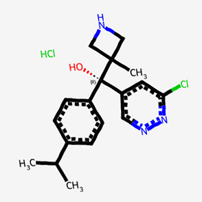 CC(C)c1ccc([C@](O)(c2cnnc(Cl)c2)C2(C)CNC2)cc1.Cl